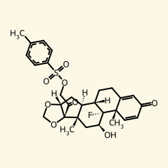 Cc1ccc(S(=O)(=O)OCC(=O)[C@@]23OCO[C@@H]2C[C@H]2[C@@H]4CCC5=CC(=O)C=C[C@]5(C)[C@@]4(F)[C@@H](O)C[C@@]23C)cc1